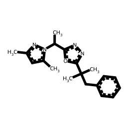 Cc1cc(C)n(C(C)c2nnc(C(C)(C)Cc3ccccc3)o2)n1